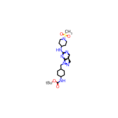 CC(C)(C)OC(=O)NC1CCC(Cn2ncc3cnc(NC4CCN(S(C)(=O)=O)CC4)nc32)CC1